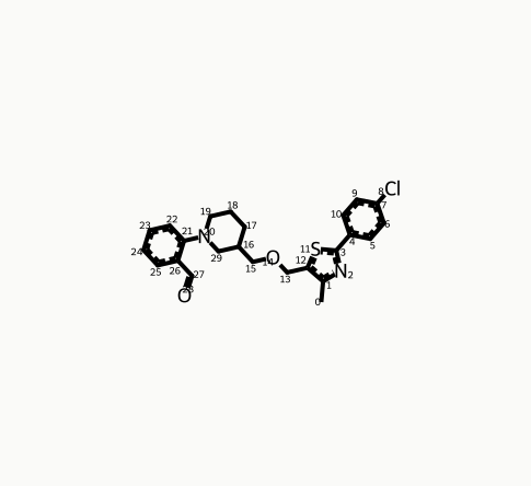 Cc1nc(-c2ccc(Cl)cc2)sc1COCC1CCCN(c2ccccc2C=O)C1